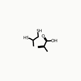 C=C(C)C(=O)O.CC(S)CS